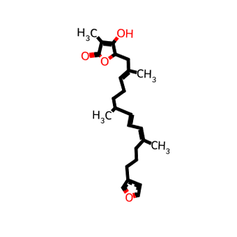 CC(=CC=CC(C)CCC=C(C)CC1OC(=O)C(C)=C1O)CCCc1ccoc1